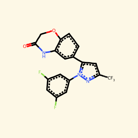 O=C1COc2ccc(-c3cc(C(F)(F)F)nn3-c3cc(F)cc(F)c3)cc2N1